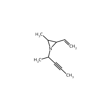 C=CC1C(C)N1C(C)C#CC